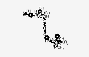 Cc1ncsc1-c1ccc(CNC(=O)[C@@H]2C[C@@H](O)CN2C(=O)[C@@H](NC(=O)COCCCOCCCOc2ccc(NC(=O)CC3N=C(c4ccccc4)c4c(sc(C)c4C)-n4c(C)nnc43)cc2)C(C)(C)C)cc1